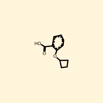 O=C(O)c1ccccc1OC1CCC1